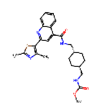 Cc1nc(C)c(-c2cc(C(=O)NC[C@H]3CC[C@H](CNC(=O)OC(C)(C)C)CC3)c3ccccc3n2)s1